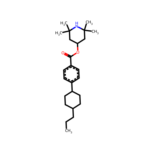 CCCC1CCC(c2ccc(C(=O)OC3CC(C)(C)NC(C)(C)C3)cc2)CC1